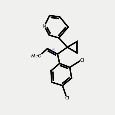 CO/C=C(\c1ccc(Cl)cc1Cl)C1(c2cccnc2)CC1